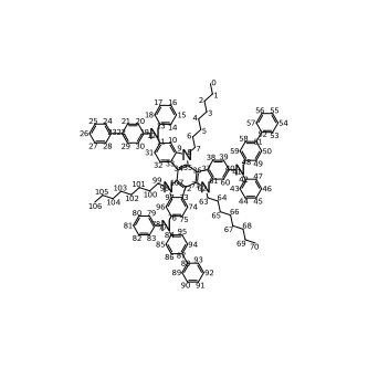 CCCCCCCCn1c2cc(N(c3ccccc3)c3ccc(-c4ccccc4)cc3)ccc2c2c1c1c3ccc(N(c4ccccc4)c4ccc(-c5ccccc5)cc4)cc3n(CCCCCCCC)c1c1c3ccc(N(c4ccccc4)c4ccc(-c5ccccc5)cc4)cc3n(CCCCCCCC)c21